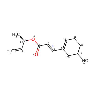 C=C[C@@H](C)OC(=O)/C=C/C1=CCCC(N=O)C1